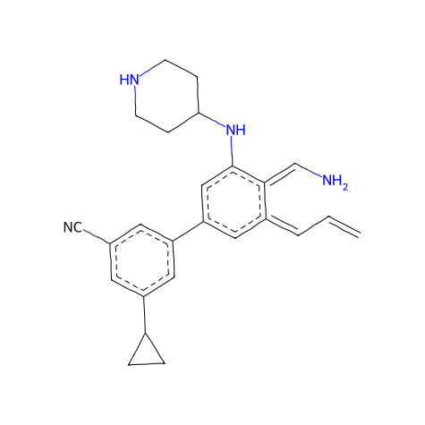 C=C/C=c1/cc(-c2cc(C#N)cc(C3CC3)c2)cc(NC2CCNCC2)/c1=C/N